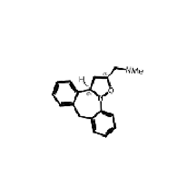 CNC[C@@H]1C[C@@H]2c3ccccc3Cc3ccccc3N2O1